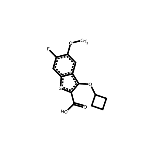 COc1cc2c(OC3CCC3)c(C(=O)O)sc2cc1F